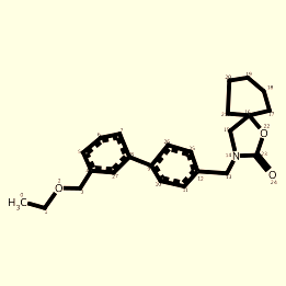 CCOCc1cccc(-c2ccc(CN3CC4(CCCCC4)OC3=O)cc2)c1